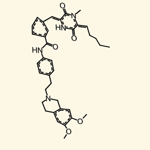 CCCCC=c1c(=O)[nH]c(=Cc2cccc(C(=O)Nc3ccc(CCN4CCc5cc(OC)c(OC)cc5C4)cc3)c2)c(=O)n1C